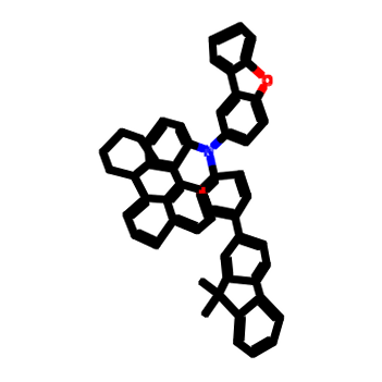 CC1(C)c2ccccc2-c2ccc(-c3ccc(N(c4ccc5oc6ccccc6c5c4)c4ccccc4-c4cccc5cccc(C6CCCCC6)c45)cc3)cc21